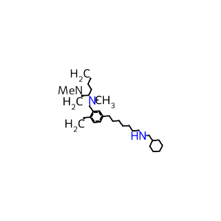 C=CCCC(C(=C)NC)N(C)Cc1cc(CCCCCCCNCC2CCCCC2)ccc1C=C